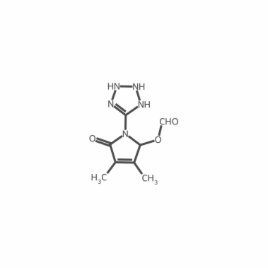 CC1=C(C)C(OC=O)N(C2=NNNN2)C1=O